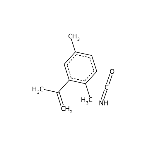 C=C(C)c1cc(C)ccc1C.N=C=O